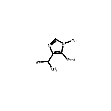 CCCCn1cnc(C(C)C(C)C)c1C(C)CCC